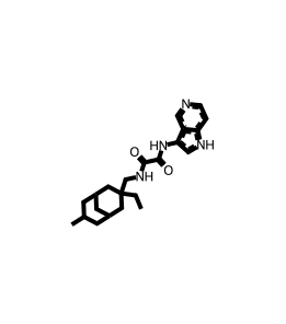 CCC1(CNC(=O)C(=O)Nc2c[nH]c3ccncc23)CC2CC(C)CC(C2)C1